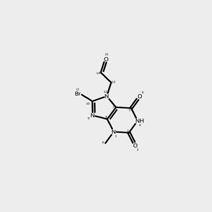 Cn1c(=O)[nH]c(=O)c2c1nc(Br)n2CC=O